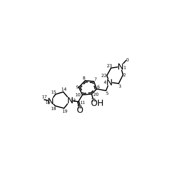 CN1CCN(Cc2cccc(C(=O)N3CCN(C)CC3)c2O)CC1